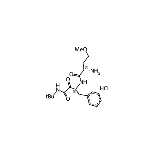 COCC[C@H](N)C(=O)N[C@@H](Cc1ccccc1)C(=O)C(=O)NC(C)(C)C.Cl